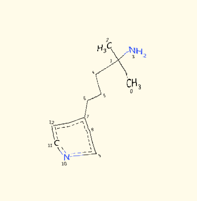 CC(C)(N)CCCc1ccncc1